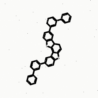 C1=C(c2ccccc2)C=C(c2ccc3c(c2)C2CC=c4sc5ccc(-c6cccc(-c7ccccc7)c6)cc5c4=C2S3)CC1